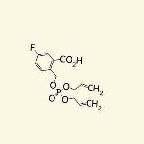 C=CCOP(=O)(OCC=C)OCc1ccc(F)cc1C(=O)O